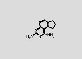 Nc1nc(N)c2c3c(ccc2n1)CCC3